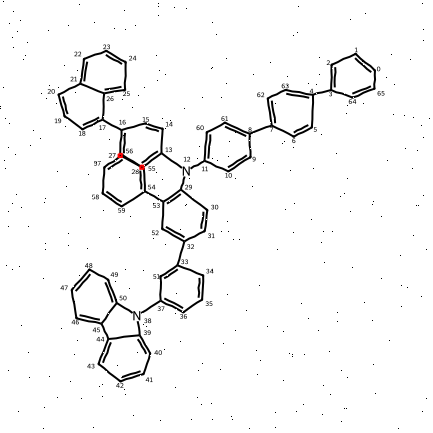 c1ccc(-c2ccc(-c3ccc(N(c4ccc(-c5cccc6ccccc56)cc4)c4ccc(-c5cccc(-n6c7ccccc7c7ccccc76)c5)cc4-c4ccccc4)cc3)cc2)cc1